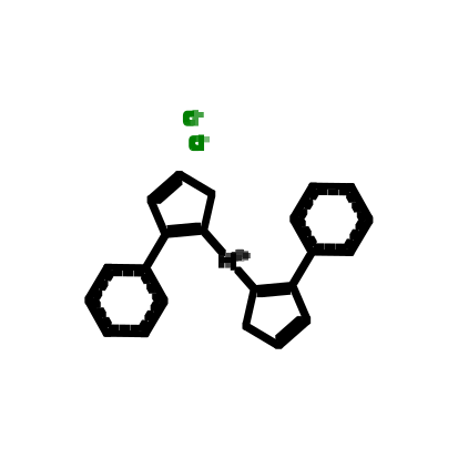 C1=CC(c2ccccc2)=[C]([Hf+2][C]2=C(c3ccccc3)C=CC2)C1.[Cl-].[Cl-]